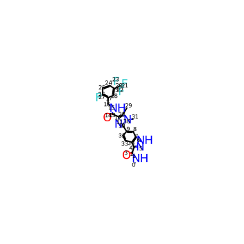 CNC(=O)c1n[nH]c2cc(-c3nc(C(=O)NCc4cc(C(F)(F)F)ccc4F)c(C)n3C)ccc12